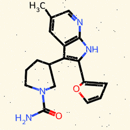 Cc1cnc2[nH]c(-c3ccco3)c(C3CCCN(C(N)=O)C3)c2c1